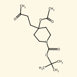 CC(=O)CCC1(OC(C)=O)CCN(C(=O)OC(C)(C)C)CC1